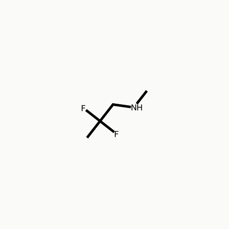 CNCC(C)(F)F